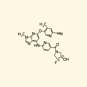 Cc1cc(C#N)ncc1Oc1cc(Nc2ccc(C(=O)N3C[C@@H](O)[C@H](F)C3)cn2)c2ncn(C)c2n1